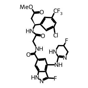 COC(=O)C[C@H](NC(=O)CNC(=O)c1cc(NC2=NCC(F)CN2)c2c(F)n[nH]c2c1)c1cc(Cl)cc(C(F)(F)F)c1